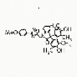 COc1ccc(-c2noc(CN3C(=O)C(c4cc(C)c(O)c(C)c4)(c4cc(C)c(O)c(C)c4)c4ccccc43)n2)cc1